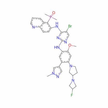 COc1cc(N2CCC(N3CC(F)C3)C2)c(-c2cnn(C)c2)cc1Nc1ncc(Br)c(Nc2ccc3ncccc3c2P(C)(C)=O)n1